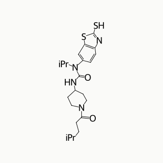 CC(C)CCC(=O)N1CCC(NC(=O)N(c2ccc3nc(S)sc3c2)C(C)C)CC1